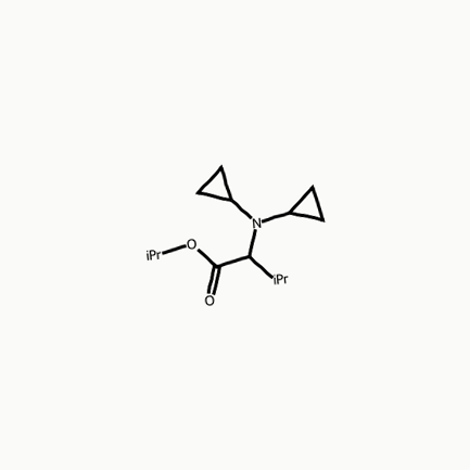 CC(C)OC(=O)C(C(C)C)N(C1CC1)C1CC1